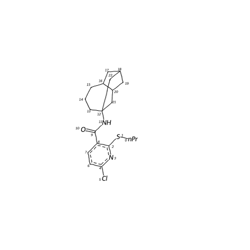 CCCSc1nc(Cl)ccc1C(=O)NC12CCCC3CC(CC3C1)C2